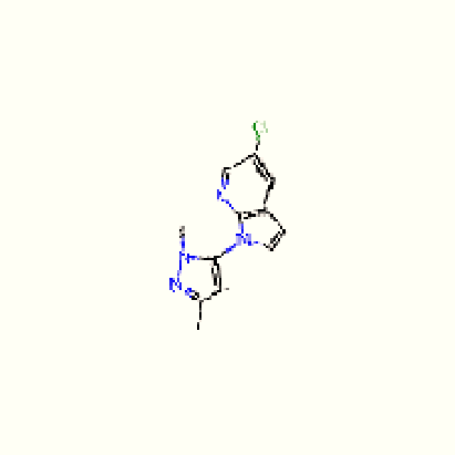 Cc1[c]c(-n2ccc3cc(Cl)cnc32)n(C)n1